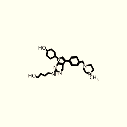 CN1CCN(Cc2ccc(-c3cn(C4CCC(O)CC4)c4nc(NCCCCO)ncc34)cc2)CC1